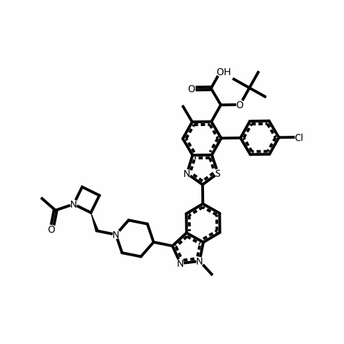 CC(=O)N1CC[C@H]1CN1CCC(c2nn(C)c3ccc(-c4nc5cc(C)c(C(OC(C)(C)C)C(=O)O)c(-c6ccc(Cl)cc6)c5s4)cc23)CC1